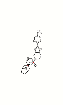 O=C(CN1CC2CCC(C1)N2c1cccnc1)N1CCc2nn(-c3ccc(C(F)(F)F)cn3)cc2C1